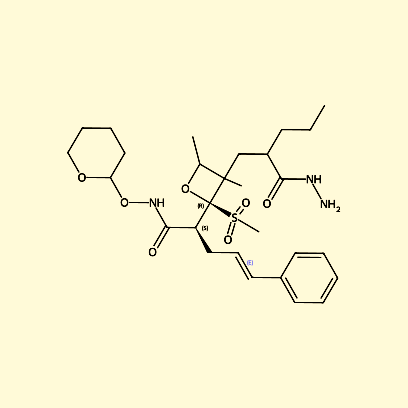 CCCC(CC1(C)C(C)O[C@]1([C@@H](C/C=C/c1ccccc1)C(=O)NOC1CCCCO1)S(C)(=O)=O)C(=O)NN